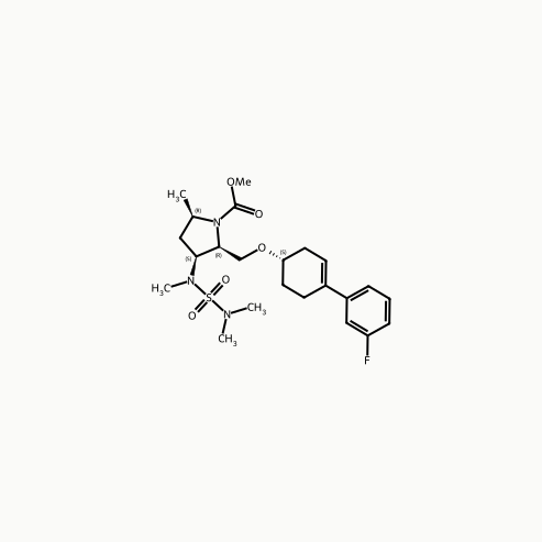 COC(=O)N1[C@H](C)C[C@H](N(C)S(=O)(=O)N(C)C)[C@@H]1CO[C@@H]1CC=C(c2cccc(F)c2)CC1